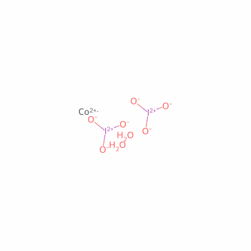 O.O.[Co+2].[O-][I+2]([O-])[O-].[O-][I+2]([O-])[O-]